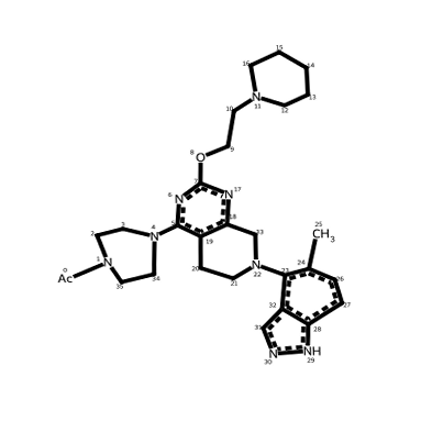 CC(=O)N1CCN(c2nc(OCCN3CCCCC3)nc3c2CCN(c2c(C)ccc4[nH]ncc24)C3)CC1